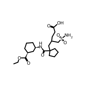 CCOC(=O)[C@H]1CCC[C@@H](NC(=O)C2(CC(CCC(=O)O)CS(N)(=O)=O)CCCC2)C1